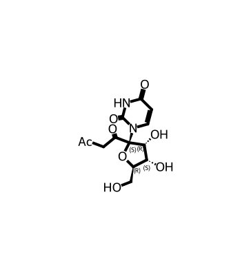 CC(=O)CC(=O)[C@@]1(n2ccc(=O)[nH]c2=O)O[C@H](CO)[C@@H](O)[C@H]1O